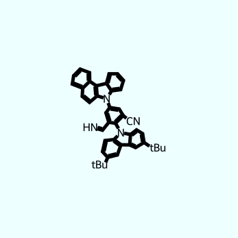 CC(C)(C)c1ccc2c(c1)c1cc(C(C)(C)C)ccc1n2-c1c(C#N)cc(-n2c3ccccc3c3c4ccccc4ccc32)cc1C=N